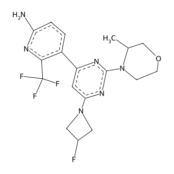 CC1COCCN1c1nc(-c2ccc(N)nc2C(F)(F)F)cc(N2CC(F)C2)n1